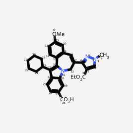 CCOC(=O)c1cn(C)nc1C1=Cc2cc(OC)ccc2-c2c(C3CCCCC3)c3ccc(C(=O)O)cc3n2C1